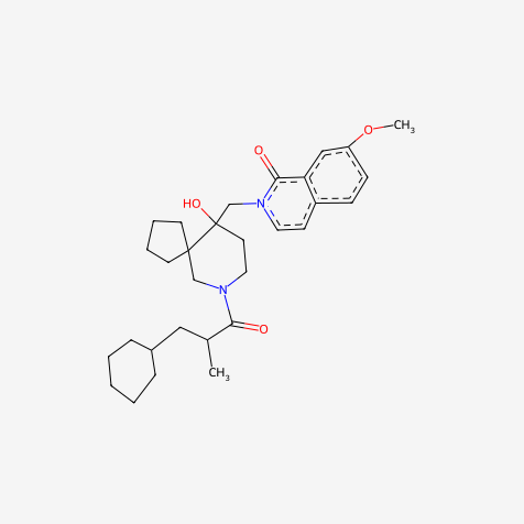 COc1ccc2ccn(CC3(O)CCN(C(=O)C(C)CC4CCCCC4)CC34CCCC4)c(=O)c2c1